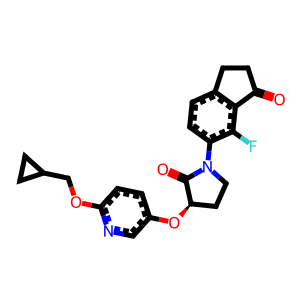 O=C1CCc2ccc(N3CC[C@@H](Oc4ccc(OCC5CC5)nc4)C3=O)c(F)c21